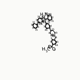 COC(=O)c1ccc(CN2CCC(c3ccc(-n4c(-c5cccnc5N)nc5ccc(-c6ccccc6)nc54)cc3)CC2)cc1